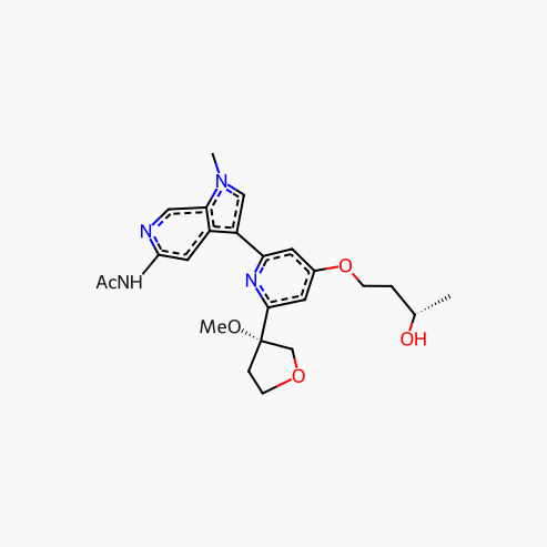 CO[C@@]1(c2cc(OCC[C@H](C)O)cc(-c3cn(C)c4cnc(NC(C)=O)cc34)n2)CCOC1